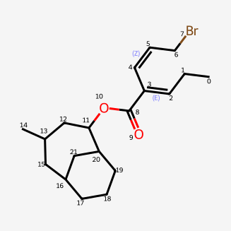 CC/C=C(\C=C/CBr)C(=O)OC1CC(C)CC2CCCC1C2